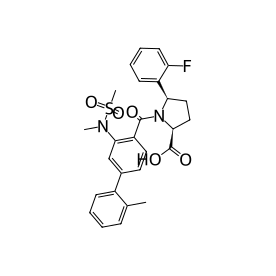 Cc1ccccc1-c1ccc(C(=O)N2[C@@H](c3ccccc3F)CC[C@H]2C(=O)O)c(N(C)S(C)(=O)=O)c1